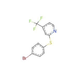 FC(F)(F)c1ccnc(Sc2ccc(Br)cc2)c1